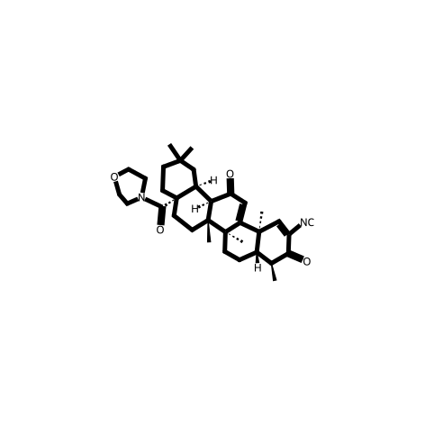 [C-]#[N+]C1=C[C@]2(C)C3=CC(=O)[C@@H]4[C@@H]5CC(C)(C)CC[C@]5(C(=O)N5CCOCC5)CC[C@@]4(C)[C@]3(C)CC[C@H]2[C@H](C)C1=O